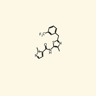 Cc1nc(Cc2cccc(C(F)(F)F)c2)sc1NC(=O)c1ccnn1C